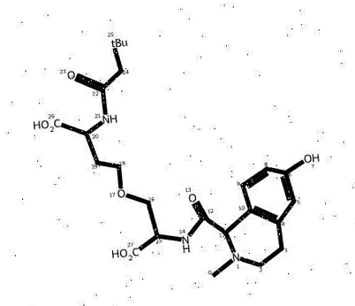 CN1CCc2cc(O)ccc2C1C(=O)NC(COCCC(NC(=O)CC(C)(C)C)C(=O)O)C(=O)O